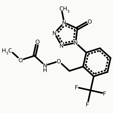 COC(=O)NOCc1c(-n2nnn(C)c2=O)cccc1C(F)(F)F